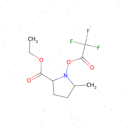 CCOC(=O)C1CCC(C)N1OC(=O)C(F)(F)F